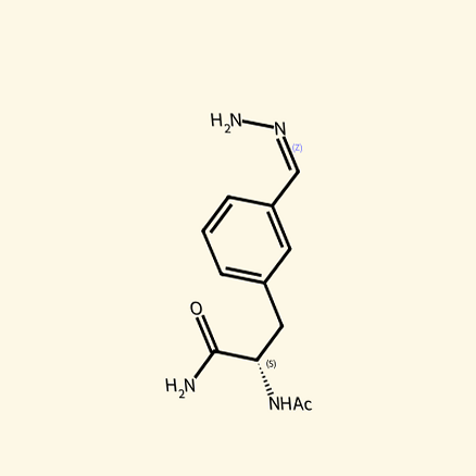 CC(=O)N[C@@H](Cc1cccc(/C=N\N)c1)C(N)=O